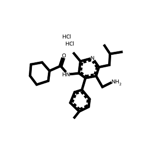 Cc1ccc(-c2c(CN)c(CC(C)C)nc(C)c2NC(=O)C2CCCCC2)cc1.Cl.Cl